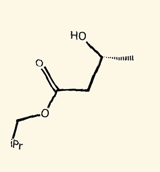 CC(C)COC(=O)C[C@@H](C)O